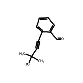 CC(C)(O)C#Cc1ccccc1C=O